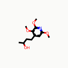 COc1cc(CCC(C)O)c(OC)c(OC)n1